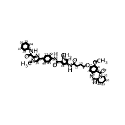 COc1cc2c(cc1OCCCC(=O)Nc1cc(C(=O)Nc3ccc(-c4cn(C)c(C(=O)Nc5ccccc5)n4)cc3)n(C)c1)N=C[C@@H]1CCCCN1C2=O